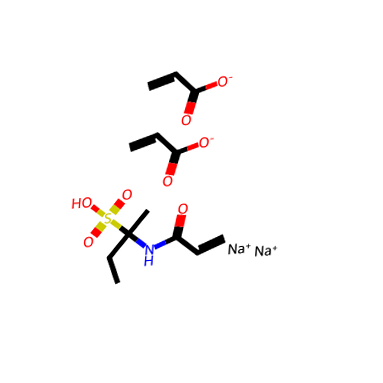 C=CC(=O)NC(C)(CC)S(=O)(=O)O.C=CC(=O)[O-].C=CC(=O)[O-].[Na+].[Na+]